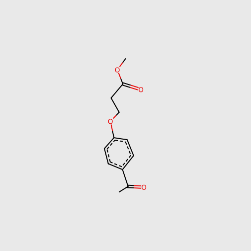 COC(=O)CCOc1ccc(C(C)=O)cc1